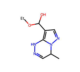 CCOC(O)c1cnn2c1NN=CC2C